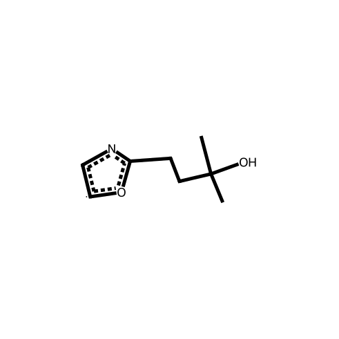 CC(C)(O)CCc1nc[c]o1